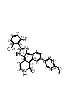 COc1ncc(-c2ccc3c(c2)c2c(=O)[nH]ccc2c2[nH]c(-c4c(F)cccc4Cl)nc32)cn1